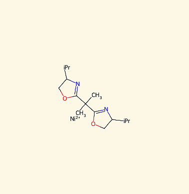 CC(C)C1COC(C(C)(C)C2=NC(C(C)C)CO2)=N1.[Ni+2]